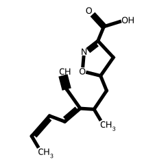 C#C/C(=C\C=C/C)C(C)CC1CC(C(=O)O)=NO1